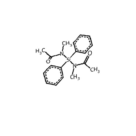 CC(=O)N(C)[Si](c1ccccc1)(c1ccccc1)N(C)C(C)=O